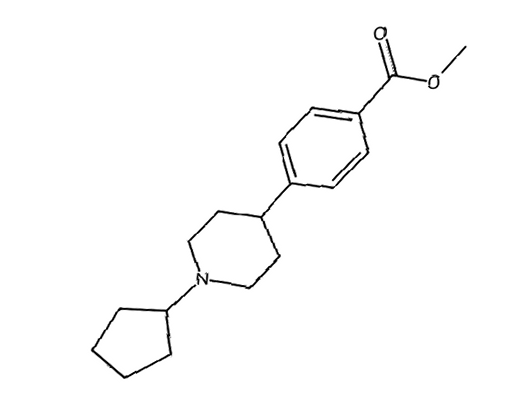 COC(=O)c1ccc(C2CCN(C3CCCC3)CC2)cc1